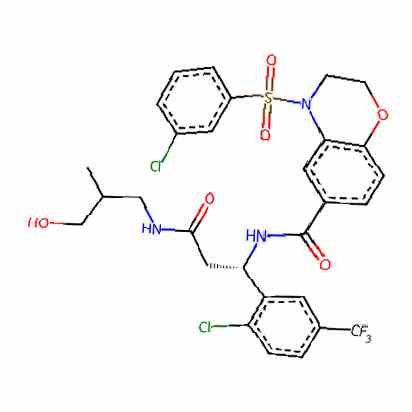 CC(CO)CNC(=O)C[C@H](NC(=O)c1ccc2c(c1)N(S(=O)(=O)c1cccc(Cl)c1)CCO2)c1cc(C(F)(F)F)ccc1Cl